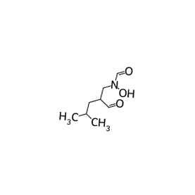 CC(C)CC(C=O)CN(O)C=O